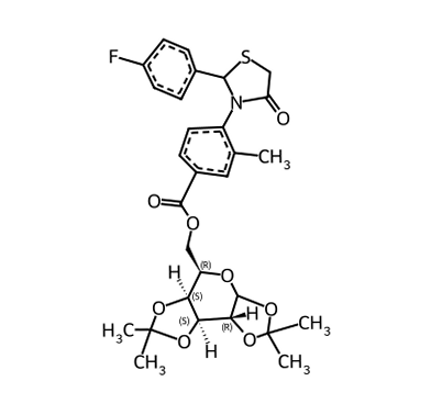 Cc1cc(C(=O)OC[C@H]2OC3OC(C)(C)O[C@@H]3[C@H]3OC(C)(C)O[C@H]32)ccc1N1C(=O)CSC1c1ccc(F)cc1